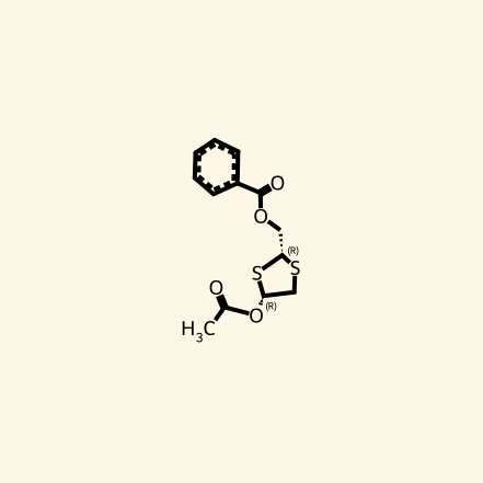 CC(=O)O[C@H]1CS[C@@H](COC(=O)c2ccccc2)S1